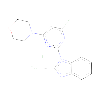 FC(F)(F)c1nc2ccccc2n1-c1nc(Cl)cc(N2CCOCC2)n1